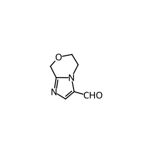 O=Cc1cnc2n1CCOC2